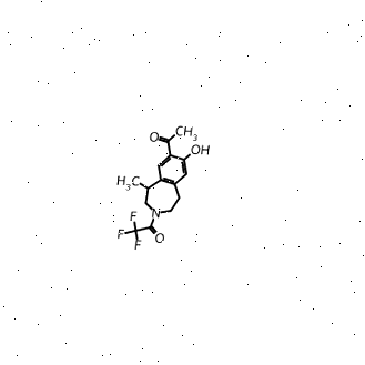 CC(=O)c1cc2c(cc1O)CCN(C(=O)C(F)(F)F)CC2C